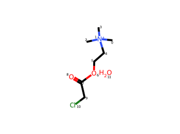 C[N+](C)(C)CCOC(=O)CCl.O